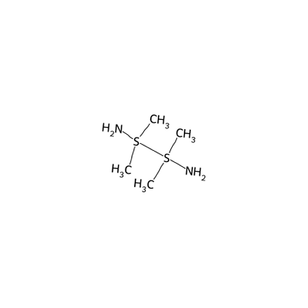 CS(C)(N)S(C)(C)N